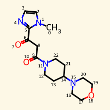 Cn1ccnc1C(=O)CC(=O)N1CCC(N2CCOCC2)CC1